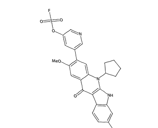 COc1cc2c(=O)c3c4ccc(C#N)cc4[nH]c3n(C3CCCC3)c2cc1-c1cncc(OS(=O)(=O)F)c1